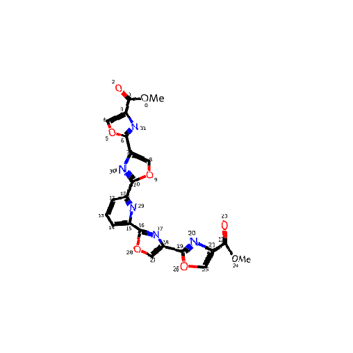 COC(=O)c1coc(-c2coc(-c3cccc(-c4nc(-c5nc(C(=O)OC)co5)co4)n3)n2)n1